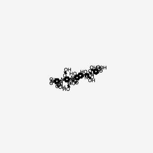 O=C(O)c1cc(S(=O)(=O)O)ccc1/N=N/c1c(C(=O)O)nn(-c2ccc3c(O)c(/N=N/c4cc(OCCO)c(/N=N/c5ccc([N+](=O)[O-])cc5S(=O)(=O)O)cc4OCCO)c(S(=O)(=O)O)cc3c2)c1O